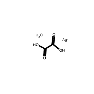 O.O=C(O)C(=O)O.[Ag]